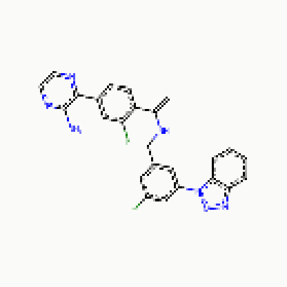 C=C(NCc1cc(F)cc(-n2nnc3ccccc32)c1)c1ccc(-c2nccnc2N)cc1F